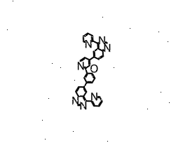 c1ccc(-c2ncnc3ccc(-c4ccc5oc6c(-c7ccc8ncnc(-c9ccccn9)c8c7)ccnc6c5c4)cc23)nc1